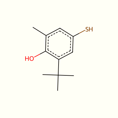 Cc1cc(S)cc(C(C)(C)C)c1O